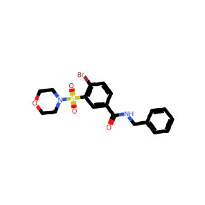 O=C(NCc1ccccc1)c1ccc(Br)c(S(=O)(=O)N2CCOCC2)c1